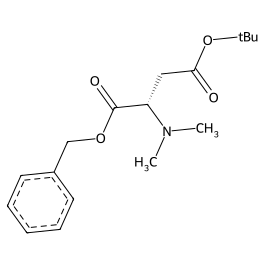 CN(C)[C@@H](CC(=O)OC(C)(C)C)C(=O)OCc1ccccc1